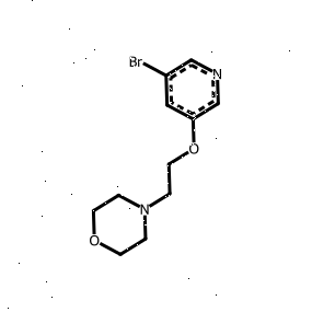 Brc1cncc(OCCN2CCOCC2)c1